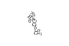 COC(=O)C1c2ccc(OCc3cccc(OC)c3OC)cc2CCN1C(=O)OC(C)(C)C